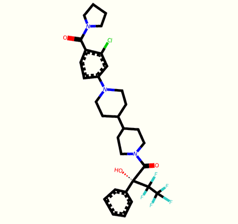 O=C(c1ccc(N2CCC(C3CCN(C(=O)[C@](O)(c4ccccc4)C(F)(F)C(F)(F)F)CC3)CC2)cc1Cl)N1CCCC1